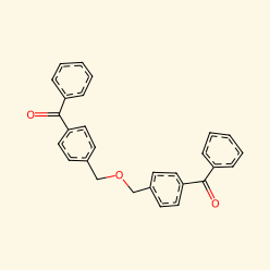 O=C(c1ccccc1)c1ccc(COCc2ccc(C(=O)c3ccccc3)cc2)cc1